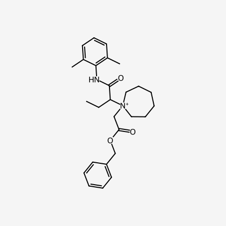 CCC(C(=O)Nc1c(C)cccc1C)[N+]1(CC(=O)OCc2ccccc2)CCCCCC1